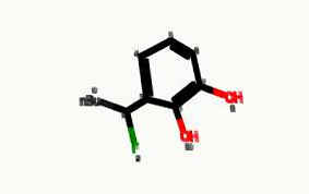 CCCCC(F)c1cccc(O)c1O